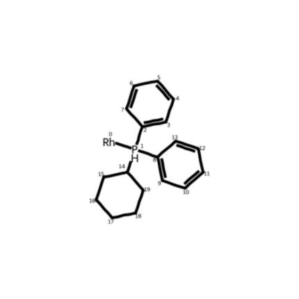 [Rh][PH](c1ccccc1)(c1ccccc1)C1CCCCC1